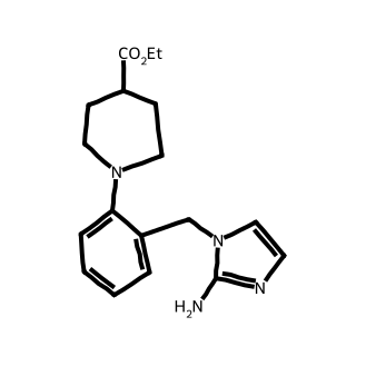 CCOC(=O)C1CCN(c2ccccc2Cn2ccnc2N)CC1